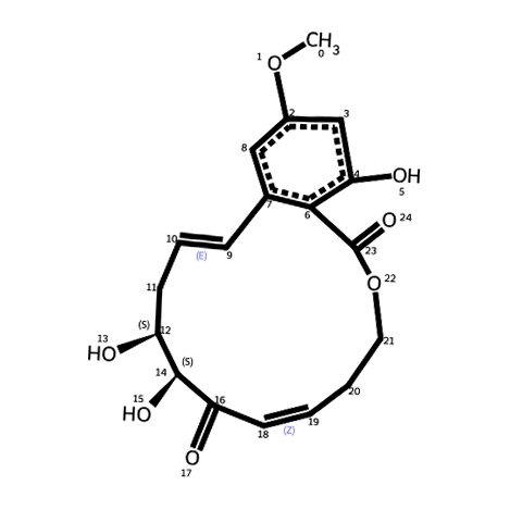 COc1cc(O)c2c(c1)/C=C/C[C@H](O)[C@H](O)C(=O)/C=C\CCOC2=O